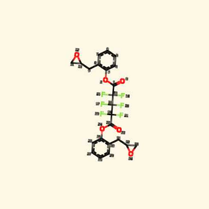 O=C(Oc1ccccc1CC1CO1)C(F)(F)C(F)(F)C(F)(F)C(=O)Oc1ccccc1CC1CO1